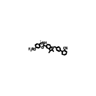 Cc1c(C)n(Cc2ccc(-c3ccccc3C#N)cc2)c2ccc(C(=O)N[C@@H](C)c3ccc(OC(F)(F)F)cc3)cc12